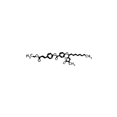 C=C1CC(C(CCCCCCCC)Oc2ccc(C(=O)Oc3ccc(/C=C/C(=O)OCC)cc3)cc2)OC1=O